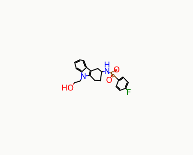 O=S(=O)(NC1CCc2c(c3ccccc3n2CCO)C1)c1ccc(F)cc1